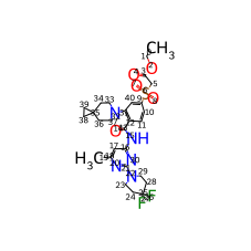 CCOC(=O)CS(=O)(=O)c1ccc(C(=O)Nc2cc(C)nc(N3CCC(F)(F)CC3)n2)c(N2CCC3(CC2)CC3)c1